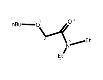 CCCCOCC(=O)N(CC)CC